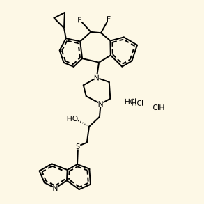 Cl.Cl.Cl.O[C@@H](CSc1cccc2ncccc12)CN1CCN(C2c3ccccc3C(F)C(F)c3c(C4CC4)cccc32)CC1